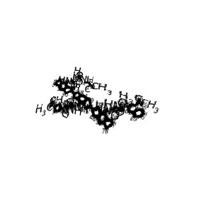 CN(C)CCNS(=O)(=O)NC(=O)Nc1c2c(cc3c1CC(C1Cc4cc5c(c(NC(=O)NS(=O)(=O)N6CCC(N(C)C)C6)c4C1)CC(C1Cc4cc6c(c(NC(=O)NS(=O)(=O)N(CCN(C)C)Cc7ccccc7)c4C1)CCC6)C5)C3)CCC2